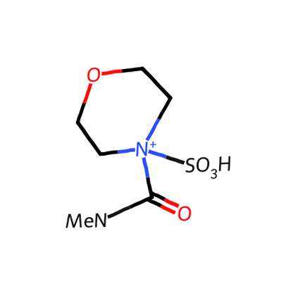 CNC(=O)[N+]1(S(=O)(=O)O)CCOCC1